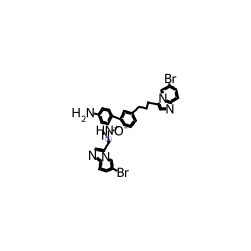 Nc1ccc(-c2cccc(CCCc3cnc4ccc(Br)cn34)c2)c([NH+]([O-])/N=C/c2cnc3ccc(Br)cn23)c1